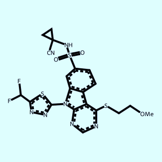 COCCSc1ncnc2c1c1ccc(S(=O)(=O)NC3(C#N)CC3)cc1n2-c1nnc(C(F)F)s1